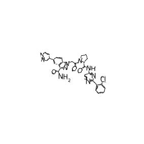 NC(=O)c1nn(CC(=O)N2CCC[C@H]2C(=O)Nc2nc(-c3ccccc3Cl)ns2)c2ccc(-c3ccnnc3)cc12